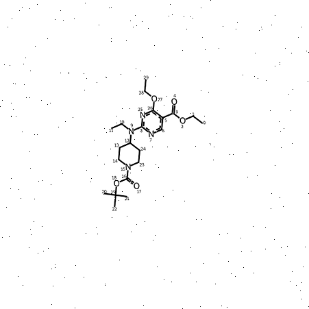 CCOC(=O)c1cnc(N(CC)C2CCN(C(=O)OC(C)(C)C)CC2)nc1OCC